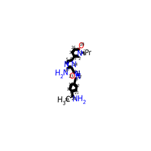 CC(C)n1cc(-c2cnc(N)c(-c3nnc(-c4ccc([C@H](C)N)cc4)o3)n2)ccc1=O